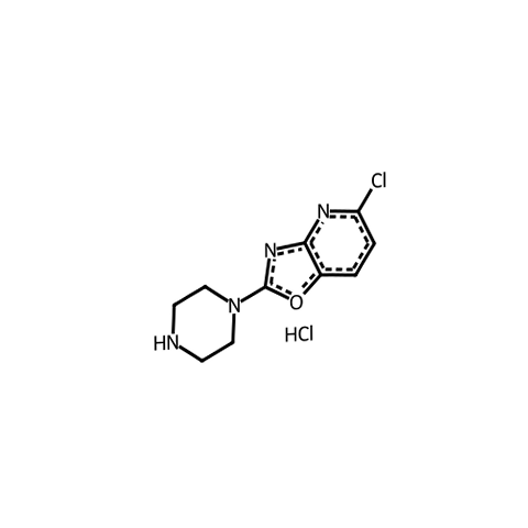 Cl.Clc1ccc2oc(N3CCNCC3)nc2n1